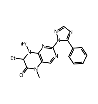 CCC1C(=O)N(C)c2cnc(-n3ncnc3-c3ccccc3)nc2N1C(C)C